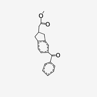 COC(=O)CC1Cc2ccc(C(=O)c3ccccc3)cc2C1